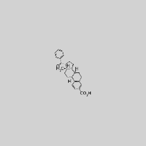 C[C@]12CC[C@@H]3c4ccc(C(=O)O)cc4CC[C@H]3[C@@H]1CC[C@H]2C(=O)c1ccccc1